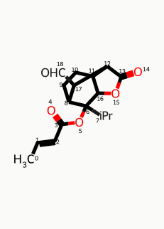 C/C=C/C(=O)OC1(C(C)C)C2CCC3C(C(=O)OC31)C2C=O